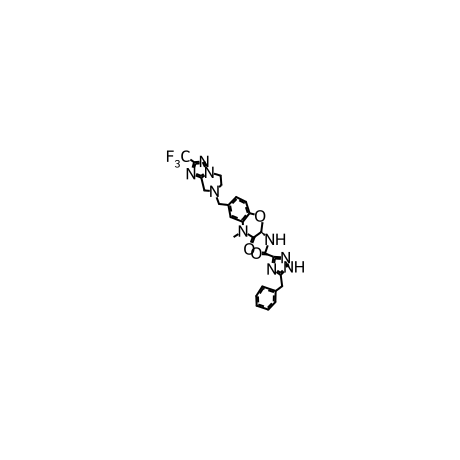 CN1C(=O)[C@H](NC(=O)c2n[nH]c(Cc3ccccc3)n2)COc2ccc(CN3CCn4nc(C(F)(F)F)nc4C3)cc21